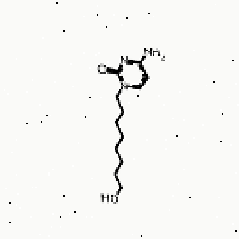 Nc1ccn(CCCCCCCCO)c(=O)n1